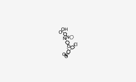 O=C(O)c1ccc2c(c1)nc(-c1ccc(OCc3cc([N+](=O)[O-])ccc3-c3ccc(Cl)cc3)cc1)n2C1CCCCC1